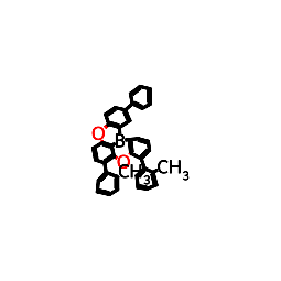 Cc1ccccc1-c1cccc2c1Oc1c(-c3ccccc3C)ccc3c1B2c1cc(-c2ccccc2)ccc1O3